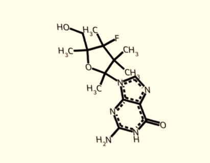 CC1(CO)OC(C)(n2cnc3c(=O)[nH]c(N)nc32)C(C)(C)C1(C)F